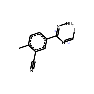 Cc1ccc(C(/N=C\I)=N/N)cc1C#N